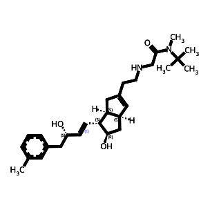 Cc1cccc(C[C@H](O)/C=C/[C@@H]2[C@H]3CC(CCNCC(=O)N(C)C(C)(C)C)=C[C@H]3C[C@H]2O)c1